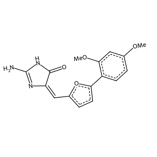 COc1ccc(-c2ccc(C=C3N=C(N)NC3=O)o2)c(OC)c1